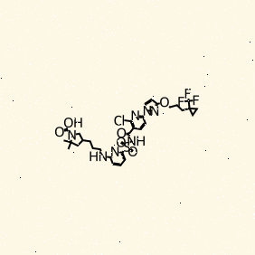 CC1(C)CC(CCCNc2cccc(S(=O)(=O)NC(=O)c3ccc(-n4ccc(OCCCC5(C(F)(F)F)CC5)n4)nc3Cl)n2)CN1C(=O)O